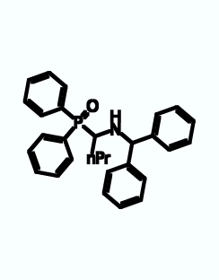 CCCC(NC(c1ccccc1)c1ccccc1)P(=O)(c1ccccc1)c1ccccc1